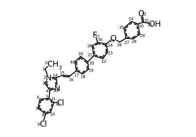 CCn1cc(-c2ccc(Cl)cc2Cl)nc1C=Cc1ccc(-c2ccc(OCc3ccc(C(=O)O)cc3)c(F)c2)cc1